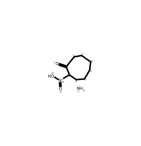 N.O=C1CCCCCCC1[N+](=O)O